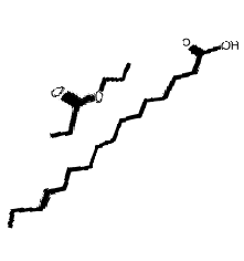 CCCCCCCCCCCCCCCC(=O)O.CCCOC(=O)CC